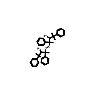 CC(C)C(C(C)(C)c1ccccc1)C(C)(OOC(C)(c1ccccc1)C(C(C)C)C(C)(C)c1ccccc1)c1ccccc1